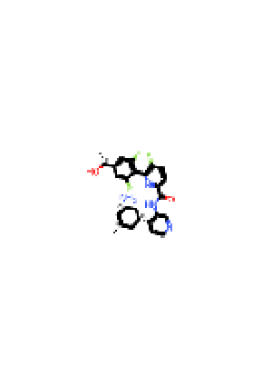 C[C@@H]1C[C@H](N)C[C@H](c2ccncc2NC(=O)c2ccc(F)c(-c3c(F)cc([C@@H](C)O)cc3F)n2)C1